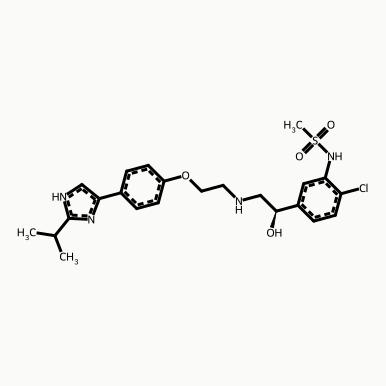 CC(C)c1nc(-c2ccc(OCCNC[C@H](O)c3ccc(Cl)c(NS(C)(=O)=O)c3)cc2)c[nH]1